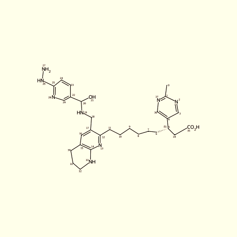 Cc1ncc([C@@H](CCCCCCc2nc3c(cc2CNC(O)c2ccc(NN)nc2)CCCN3)CC(=O)O)cn1